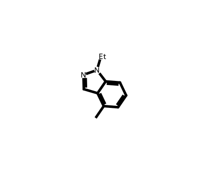 CCn1ncc2c(C)cccc21